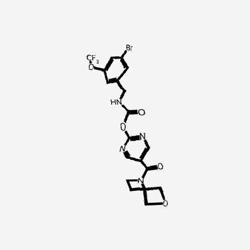 O=C(NCc1cc(Br)cc(OC(F)(F)F)c1)Oc1ncc(C(=O)N2CCC23COC3)cn1